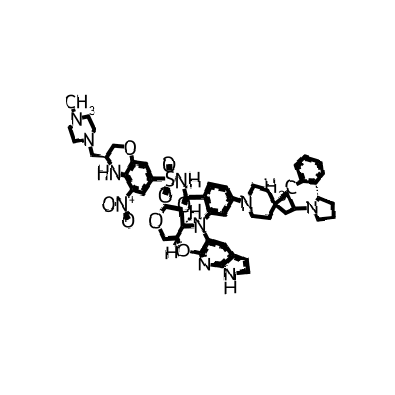 Cc1ccccc1[C@@H]1CCCN1C1CC2(CCN(c3ccc(C(=O)NS(=O)(=O)c4cc5c(c([N+](=O)[O-])c4)N[C@@H](CN4CCN(C)CC4)CO5)c(N4c5cc6cc[nH]c6nc5O[C@@H]5COCC[C@H]54)c3)CC2)C1